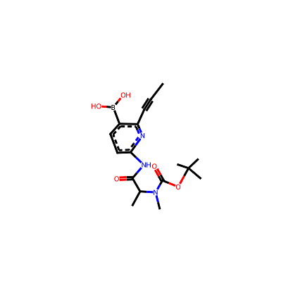 CC#Cc1nc(NC(=O)C(C)N(C)C(=O)OC(C)(C)C)ccc1B(O)O